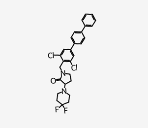 O=C1C(N2CCC(F)(F)CC2)CCN1Cc1c(Cl)cc(-c2ccc(-c3ccccc3)cc2)cc1Cl